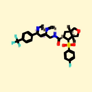 C=N/C(=C\C(=N/C)c1ccc(C(F)(F)F)cc1)CNC(=O)[C@@H]1C[C@@H]2COC[C@@H]2C1S(=O)(=O)c1ccc(F)cc1